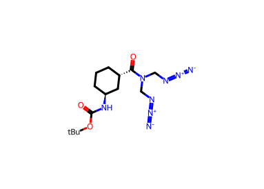 CC(C)(C)OC(=O)N[C@H]1CCC[C@H](C(=O)N(CN=[N+]=[N-])CN=[N+]=[N-])C1